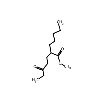 CCCCCC(CCC(=O)CC)C(=O)OC